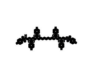 Cc1ccc(S(=O)(=O)/N=C/CN(CCN(CCCCCCCCCN(CCN(CCNS(=O)(=O)c2ccc(C)cc2)S(=O)(=O)c2ccc(C)cc2)S(=O)(=O)c2ccc(C)cc2)S(=O)(=O)c2ccc(C)cc2)S(=O)(=O)c2ccc(C)cc2)cc1